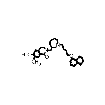 Cc1cc2c(cc1C)C(=O)N(CC1CCCCN(CCCCOc3cccc4ccccc34)C1)CC2